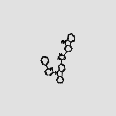 c1ccc(-c2cccc(-n3c4ccccc4c4ccc(-c5nnc(-c6ccc7c(c6)[nH]c6ccccc67)s5)cc43)n2)cc1